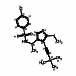 CCc1onc(C(C)NS(=O)(=O)c2ccc(Cl)cc2)c1C#C[Si](C)(C)C